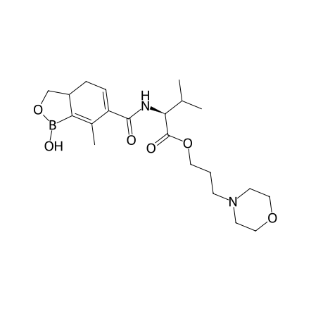 CC1=C2B(O)OCC2CC=C1C(=O)N[C@H](C(=O)OCCCN1CCOCC1)C(C)C